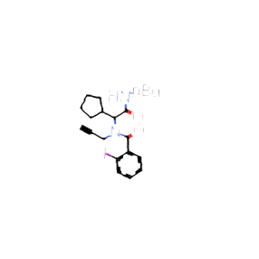 C#CCN(C(=O)c1ccccc1I)C(C(=O)NCCCC)C1CCCC1